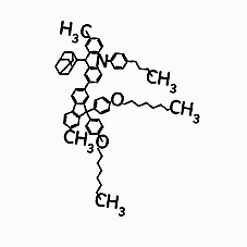 CCCCCCCCOc1ccc(C2(c3ccc(OCCCCCCCC)cc3)c3cc(C)ccc3-c3ccc(-c4ccc5c(c4)C(C4C6CC7CC(C6)CC4C7)c4cc(C)ccc4N5c4ccc(CCCC)cc4)cc32)cc1